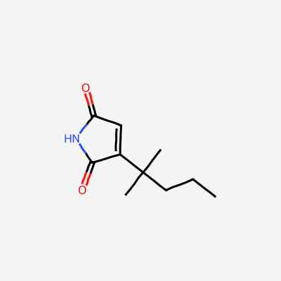 CCCC(C)(C)C1=CC(=O)NC1=O